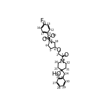 O=C(COC1CCN(S(=O)(=O)c2ccc(F)cc2)C1)N1CCC(O)(Cc2ccccc2)CC1